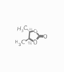 C[C@@H]1OC(=O)O[C@H]1C